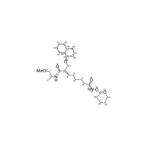 COCC(C)NC(=O)/C(=C/CCCCC(=O)NOC1CCCCO1)COc1cccc2ccccc12